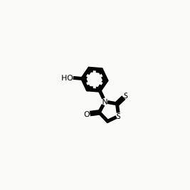 O=C1CSC(=S)N1c1cccc(O)c1